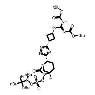 CCCCN(OS(=O)(=O)ON1C(=O)N2C[C@@H]1CC[C@H]2c1nnc([C@H]2C[C@@H](NC(=NC(=O)OC(C)(C)C)NC(=O)OC(C)(C)C)C2)s1)C(CCC)(CCCC)CCCC